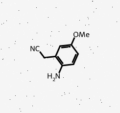 COc1ccc(N)c(CC#N)c1